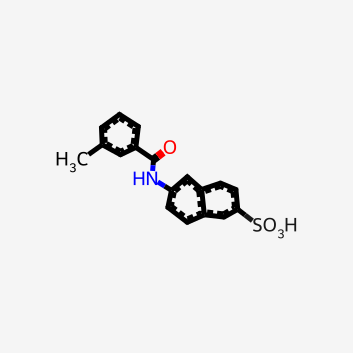 Cc1cccc(C(=O)Nc2ccc3cc(S(=O)(=O)O)ccc3c2)c1